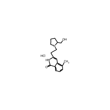 Cc1cccc2c(=O)[nH]c(CCN3CCCC3CO)cc12.Cl